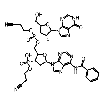 N#CCCOP(=O)(O)[C@H]1CC(n2cnc3c(NC(=O)c4ccccc4)ncnc32)OC1COP(=O)(OCCC#N)[C@@H]1C(CO)OC(n2cnc3c(=O)[nH]cnc32)[C@@H]1F